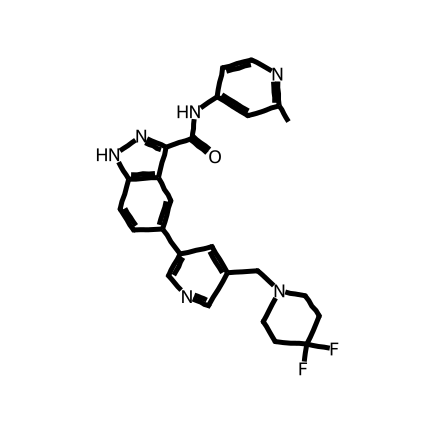 Cc1cc(NC(=O)c2n[nH]c3ccc(-c4cncc(CN5CCC(F)(F)CC5)c4)cc23)ccn1